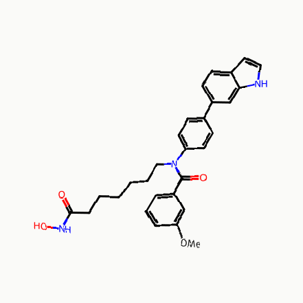 COc1cccc(C(=O)N(CCCCCCC(=O)NO)c2ccc(-c3ccc4cc[nH]c4c3)cc2)c1